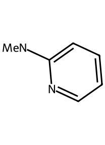 [C]Nc1ccccn1